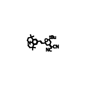 CC1(C)CCN2CCC(C)(C)c3cc(/C=C/C4CC(=C(C#N)C#N)CC(C(C)(C)C)O4)cc1c32